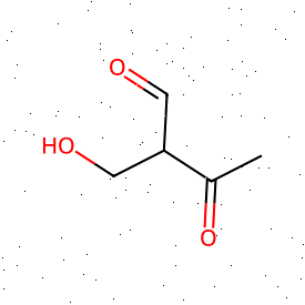 CC(=O)C(C=O)CO